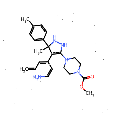 C=C/C=C(\C=C/N)C1=C(N2CCN(C(=O)OC)CC2)NNC1(C)c1ccc(C)cc1